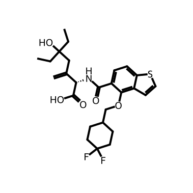 C=C(CC(O)(CC)CC)[C@H](NC(=O)c1ccc2sccc2c1OCC1CCC(F)(F)CC1)C(=O)O